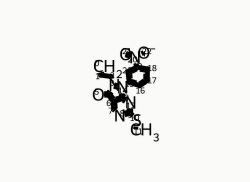 C=CCn1c(=O)c2cnc(SC)nc2n1-c1cccc([N+](=O)[O-])c1